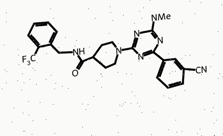 CNc1nc(-c2cccc(C#N)c2)nc(N2CCC(C(=O)NCc3ccccc3C(F)(F)F)CC2)n1